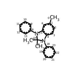 Cc1ccc2c(c1)N(c1ccccc1)C(C)(C)N2c1ccccc1